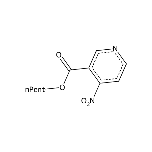 CCCCCOC(=O)c1cnccc1[N+](=O)[O-]